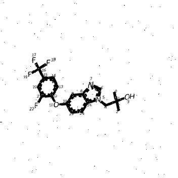 CC(C)(O)Cn1cnc2cc(Oc3ccc(C(F)(F)F)cc3F)ccc21